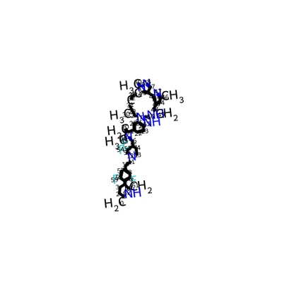 C=C1CCC(c2c(F)cc(CCN3CCC(CN(C)C(=C)c4ccc5c(c4)N4C[C@H](C)CCCCc6c(cnn6C)-c6cc(cc(C)n6)C(=C)NC4N5)C(F)(F)C3)cc2F)C(=C)N1